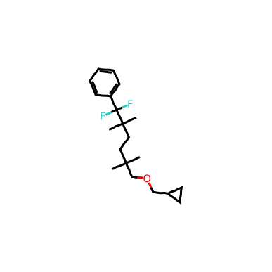 CC(C)(CCC(C)(C)C(F)(F)c1ccccc1)COCC1CC1